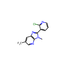 Cn1c(-c2cccnc2Cl)nc2cc(C(F)(F)F)cnc21